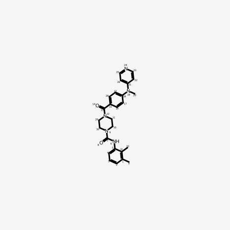 Cc1cccc(NC(=O)N2CCN(C(=O)c3ccc(N(C)c4ccncc4)cc3)CC2)c1C